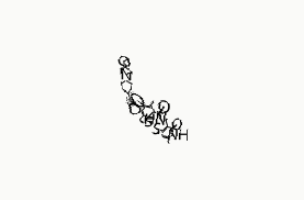 COC1CN(C2CCC([C@@]3(C)Oc4c(C)c(C(=O)NCc5c(SC)cc(C)[nH]c5=O)c5sccc5c4O3)CC2)C1